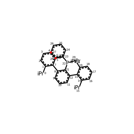 CC(C)c1cccc(C(C)C)c1-c1cccc(-c2c(C(C)C)cccc2C(C)C)c1P(c1ccccc1)C(C)C